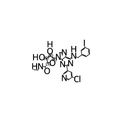 CCNC(=O)[C@H]1O[C@@H](n2cnc3c(NCc4cccc(I)c4)nc(-c4cncc(Cl)c4)nc32)[C@H](O)[C@@H]1O